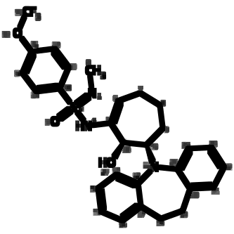 CN=S(=O)(NC1=CCCC[C@@H](N2c3ccccc3CCc3ccccc32)[C@H]1O)c1ccc(OC(F)(F)F)cc1